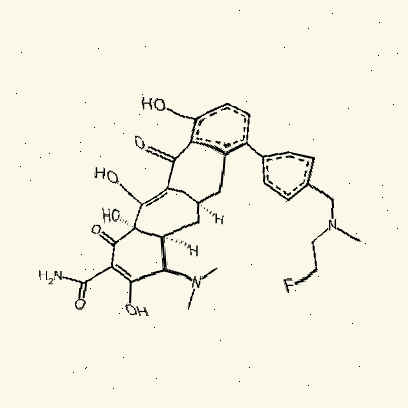 CN(CCF)Cc1ccc(-c2ccc(O)c3c2C[C@H]2C[C@H]4C(N(C)C)C(O)=C(C(N)=O)C(=O)[C@@]4(O)C(O)=C2C3=O)cc1